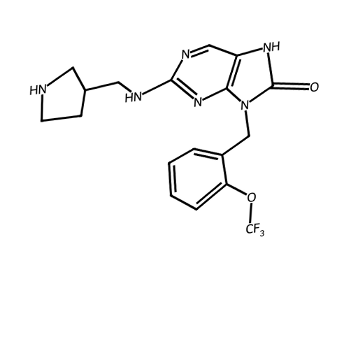 O=c1[nH]c2cnc(NCC3CCNC3)nc2n1Cc1ccccc1OC(F)(F)F